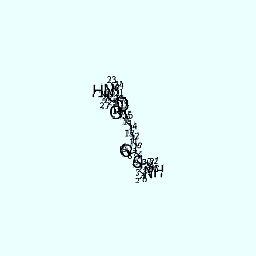 CC1(C)CC(OCC(C=O)CCCCCCCC(=O)OC2CC(C)(C)NC(C)(C)C2)CC(C)(C)N1